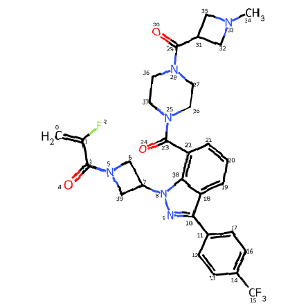 C=C(F)C(=O)N1CC(n2nc(-c3ccc(C(F)(F)F)cc3)c3cccc(C(=O)N4CCN(C(=O)C5CN(C)C5)CC4)c32)C1